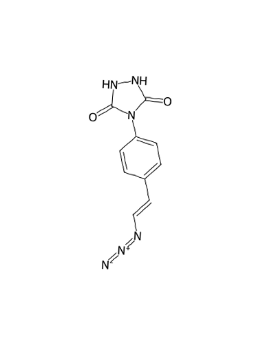 [N-]=[N+]=NC=Cc1ccc(-n2c(=O)[nH][nH]c2=O)cc1